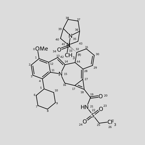 COc1ccc(C2CCCCC2)c2c1cc1n2CC2=C(C(=O)NS(=O)(=O)CC(F)(F)F)C2=C2C=CC[C@@H](C(=O)N3C4CCC3CN(C)C4)C21